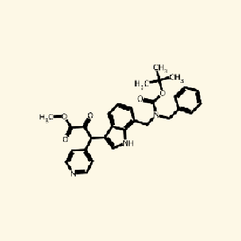 COC(=O)C(=O)C(c1ccncc1)c1c[nH]c2c(CN(Cc3ccccc3)C(=O)OC(C)(C)C)cccc12